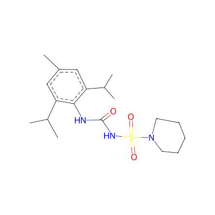 Cc1cc(C(C)C)c(NC(=O)NS(=O)(=O)N2CCCCC2)c(C(C)C)c1